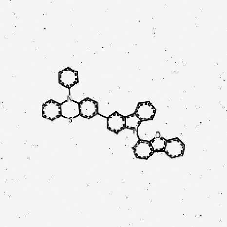 c1ccc(N2c3ccccc3Sc3cc(-c4ccc5c(c4)c4ccccc4n5-c4cccc5c4oc4ccccc45)ccc32)cc1